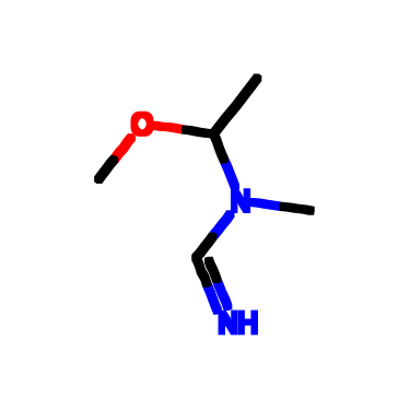 COC(C)N(C)C=N